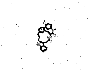 COc1ccc(N(C)C(=O)C2Cc3cccc(c3)/C=C/Cc3[nH]c4ccccc4c3CC(=O)N2)cc1